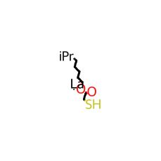 CC(C)CCCCCOC(=O)CS.[La]